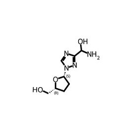 NC(O)c1ncn([C@@H]2CC[C@H](CO)O2)n1